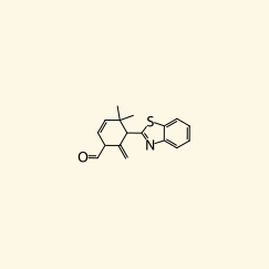 C=C1C(C=O)C=CC(C)(C)C1c1nc2ccccc2s1